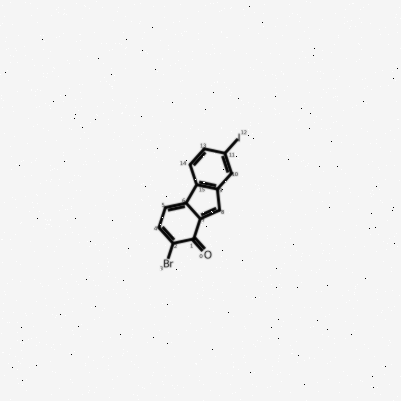 O=C1C(Br)=CC=C2C1=Cc1cc(I)ccc12